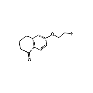 O=C1CCCc2cc(OCCF)ccc21